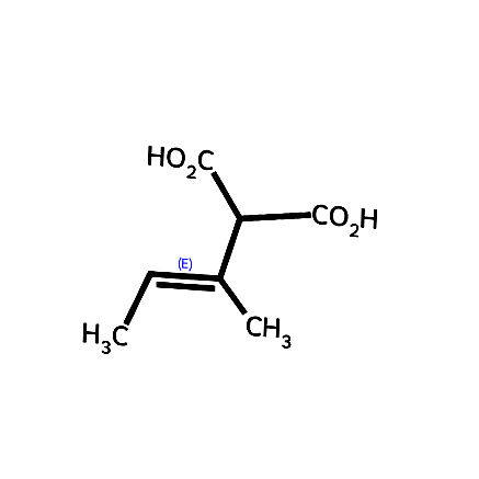 C/C=C(\C)C(C(=O)O)C(=O)O